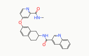 CNC(=O)c1cc(Oc2ccc3c(c2)CC(NC(=O)c2cnc4ccccc4c2)CC3)ccn1